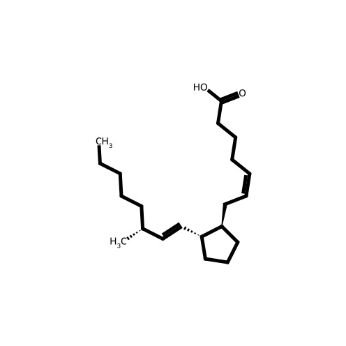 CCCCC[C@@H](C)/C=C/[C@H]1CCC[C@@H]1C/C=C\CCCC(=O)O